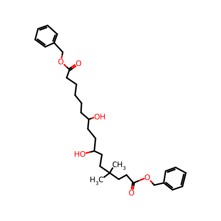 CC(C)(CCC(=O)OCc1ccccc1)CCC(O)CCC(O)CCCCCC(=O)OCc1ccccc1